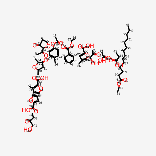 CC(=O)C1OCCC1=O.CC(=O)CO.CC(=O)O.CC(=O)Oc1ccc(C)cc1.CC1CC(=O)C(C)O1.CCC(=O)CO.CCC(=O)O.CCCCCCCCCCCCCC(=O)OCC.CCOC(=O)c1ccccc1.Cc1ccoc1C(=O)O.Cc1coc(C(=O)O)c1.O=C(O)c1ccco1